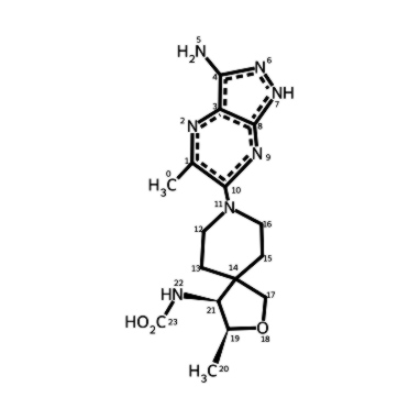 Cc1nc2c(N)n[nH]c2nc1N1CCC2(CC1)CO[C@@H](C)[C@H]2NC(=O)O